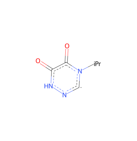 CC(C)n1[c]n[nH]c(=O)c1=O